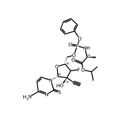 C#C[C@@]1(O)C(F)[C@@H](COP(=O)(N[C@@H](C)C(=O)OC(C)C)Oc2ccccc2)O[C@H]1n1ccc(N)nc1=S